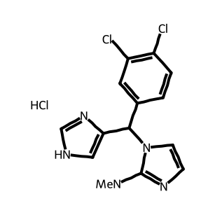 CNc1nccn1C(c1ccc(Cl)c(Cl)c1)c1c[nH]cn1.Cl